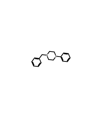 [c]1ccccc1CN1CCN(c2ccccc2)CC1